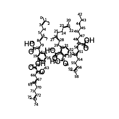 CC(C)=CCC/C(C)=C/CC(C(=O)O)c1ccccc1.CC(C)=CCC/C(C)=C/Cc1cccc(C(=O)O)c1C(=O)O.CCCCCCCC(C/C=C(\C)CCC=C(C)C)C(=O)O.COC(C/C=C(\C)CCC=C(C)C)C(=O)O